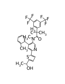 Cc1ccccc1-c1cc(-c2ccc(C(C)O)s2)ncc1N(C)C(=O)C(C)(C)c1cc(C(F)(F)F)cc(C(F)(F)F)c1